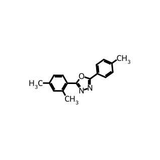 Cc1ccc(-c2nnc(-c3ccc(C)cc3C)o2)cc1